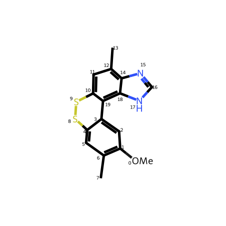 COc1cc2c(cc1C)SSc1cc(C)c3nc[nH]c3c1-2